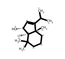 CC(C)C1=C[C@@H](O)[C@@H]2C(C)(C)CCC[C@@]12C